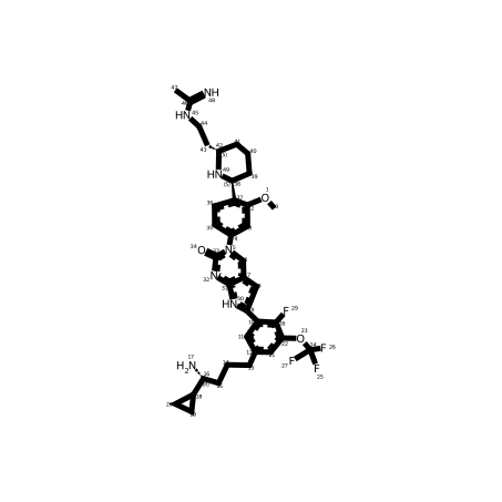 COc1cc(-n2cc3cc(-c4cc(CCC[C@@H](N)C5CC5)cc(OC(F)(F)F)c4F)[nH]c3nc2=O)ccc1[C@@H]1CCC[C@@H](CCNC(C)=N)N1